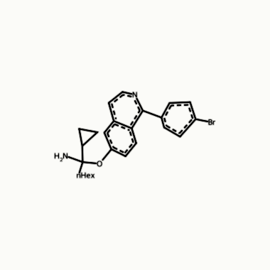 CCCCCCC(N)(Oc1ccc2c(-c3ccc(Br)cc3)nccc2c1)C1CC1